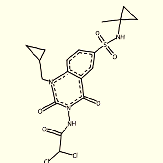 CC1(NS(=O)(=O)c2ccc3c(c2)c(=O)n(NC(=O)C(Cl)Cl)c(=O)n3CC2CC2)CC1